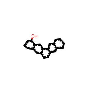 Oc1cccc2cc3ccc4cc5ccccc5cc4c3cc12